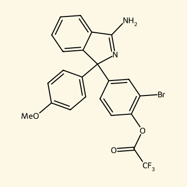 COc1ccc(C2(c3ccc(OC(=O)C(F)(F)F)c(Br)c3)N=C(N)c3ccccc32)cc1